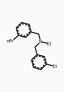 CCCc1cccc(CN(CC)Cc2cccc(CC)c2)c1